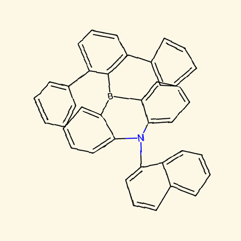 c1ccc(-c2cccc(-c3ccccc3)c2B2c3ccccc3N(c3cccc4ccccc34)c3ccccc32)cc1